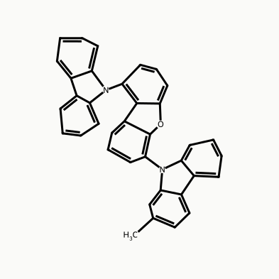 Cc1ccc2c3ccccc3n(-c3cccc4c3oc3cccc(-n5c6ccccc6c6ccccc65)c34)c2c1